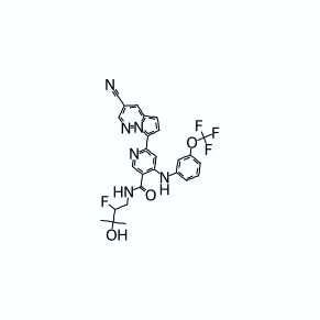 CC(C)(O)C(F)CNC(=O)c1cnc(-c2ccc3cc(C#N)cnn23)cc1Nc1cccc(OC(F)(F)F)c1